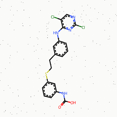 O=C(O)Nc1cccc(SCCc2cccc(Nc3nc(Cl)ncc3Cl)c2)c1